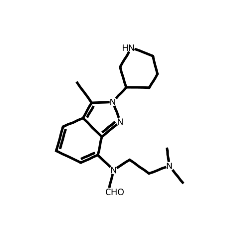 Cc1c2cccc(N(C=O)CCN(C)C)c2nn1C1CCCNC1